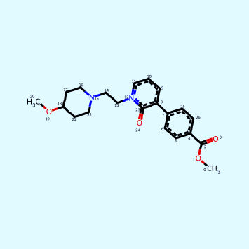 COC(=O)c1ccc(-c2cccn(CCN3CCC(OC)CC3)c2=O)cc1